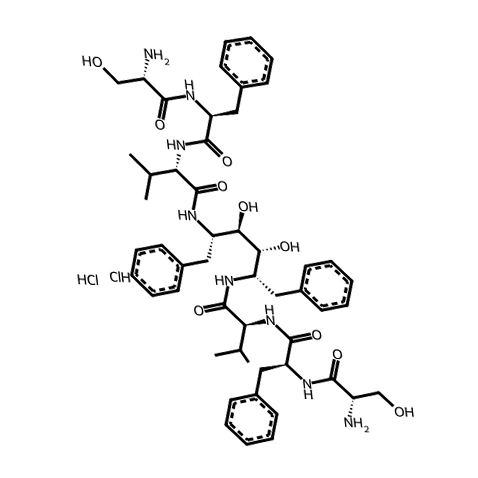 CC(C)[C@H](NC(=O)[C@H](Cc1ccccc1)NC(=O)[C@@H](N)CO)C(=O)N[C@@H](Cc1ccccc1)[C@@H](O)[C@H](O)[C@H](Cc1ccccc1)NC(=O)[C@@H](NC(=O)[C@H](Cc1ccccc1)NC(=O)[C@@H](N)CO)C(C)C.Cl.Cl